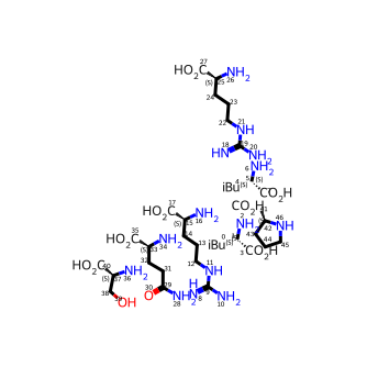 CC[C@H](C)[C@H](N)C(=O)O.CC[C@H](C)[C@H](N)C(=O)O.N=C(N)NCCC[C@H](N)C(=O)O.N=C(N)NCCC[C@H](N)C(=O)O.NC(=O)CC[C@H](N)C(=O)O.N[C@@H](CO)C(=O)O.O=C(O)[C@@H]1CCCN1